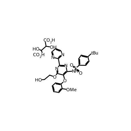 COc1ccccc1Oc1c(NS(=O)(=O)c2ccc(C(C)(C)C)cc2)nc(-c2ncccn2)nc1OCCO.O=C(O)C(O)C(O)C(=O)O